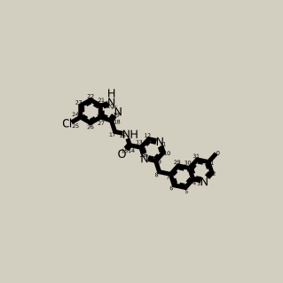 Cc1cnc2ccc(Cc3cncc(C(=O)NCc4n[nH]c5ccc(Cl)cc45)n3)cc2c1